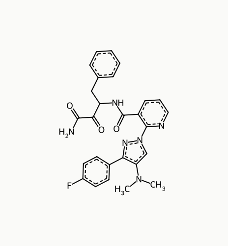 CN(C)c1cn(-c2ncccc2C(=O)NC(Cc2ccccc2)C(=O)C(N)=O)nc1-c1ccc(F)cc1